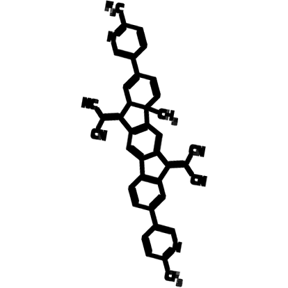 CC12C=CC(c3ccc(C(F)(F)F)nc3)=CC1C(=C(C#N)C#N)c1cc3c(cc12)C(=C(C#N)C#N)c1cc(-c2ccc(C(F)(F)F)nc2)ccc1-3